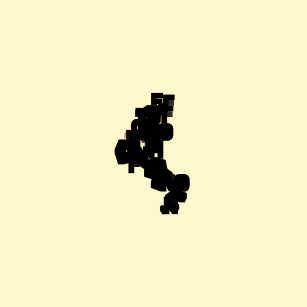 C=C(CN(C)C)C(=O)N1CCc2cc(CN3C[C@H]4CC(=O)N(c5cc(C(F)(F)F)cc(C)n5)[C@@H]4C(=O)N(C)c4cccc(F)c43)ccc2C1